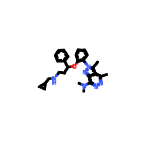 Cc1nnc(N(C)C)c2nn(-c3ccccc3OC(CCNCC3CC3)c3ccccc3)c(C)c12